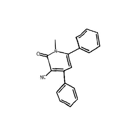 Cn1c(-c2ccccc2)cc(-c2ccccc2)c(C#N)c1=O